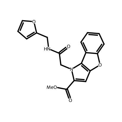 COC(=O)c1cc2oc3ccccc3c2n1CC(=O)NCc1ccco1